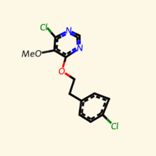 COc1c(Cl)ncnc1OCCc1ccc(Cl)cc1